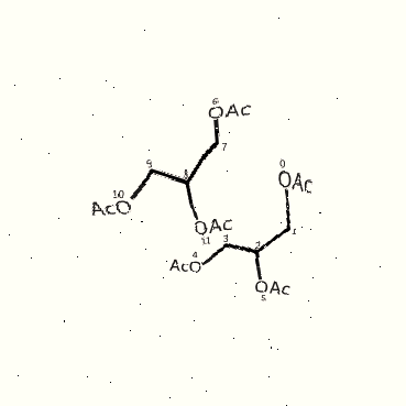 CC(=O)OCC(COC(C)=O)OC(C)=O.CC(=O)OCC(COC(C)=O)OC(C)=O